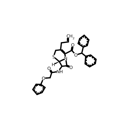 C=CCC1=C(C(=O)OC(c2ccccc2)c2ccccc2)N2C(=O)C(NC(=O)COc3ccccc3)[C@@H]2SC1